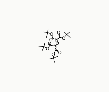 CC(C)(C)OC(=O)N(ON(C(=O)OC(C)(C)C)C(=O)OC(C)(C)C)C(=O)OC(C)(C)C